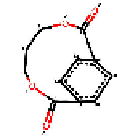 O=C1OCCCOC(=O)c2ccc1cc2